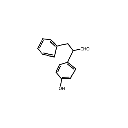 O=CC(Cc1ccccc1)c1ccc(O)cc1